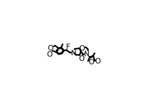 CC1=C(N2CCOC3(CCN(C[C@H](F)c4ccc5c(c4C)COC5=O)CC3)C2=O)COC1=O